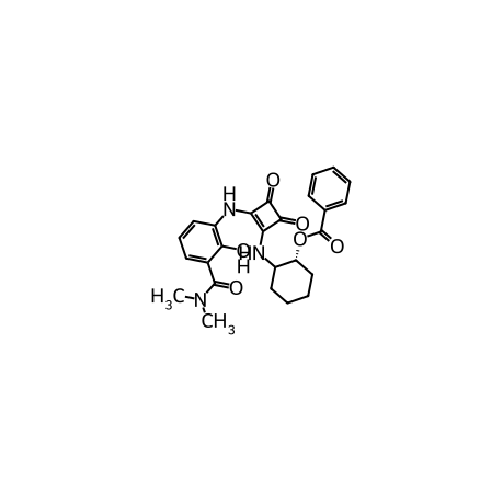 CN(C)C(=O)c1cccc(Nc2c(NC3CCCC[C@H]3OC(=O)c3ccccc3)c(=O)c2=O)c1O